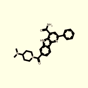 CN(C)C1CCN(C(=O)c2ccc3c(c2)[nH]c2c(C(N)=O)cc(-c4ccccc4)nc23)CC1